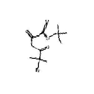 C=C(CC(=O)C(C)(C)Br)C(=O)OC(C)(C)C